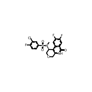 CN([C@@H]1COCc2[nH]c(=O)c3cc(F)c(F)cc3c21)S(=O)(=O)c1ccc(F)c(Cl)c1